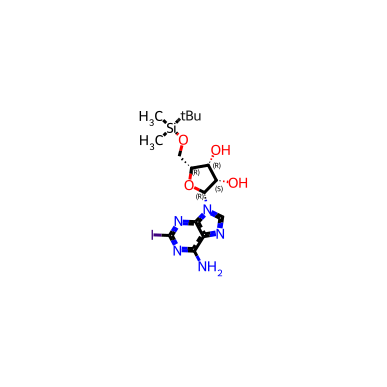 CC(C)(C)[Si](C)(C)OC[C@H]1O[C@@H](n2cnc3c(N)nc(I)nc32)[C@@H](O)[C@H]1O